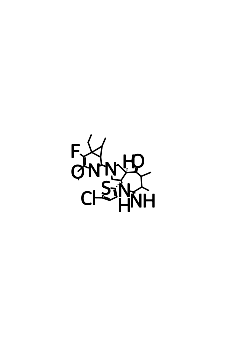 CCC12C(F)=C(OC)N=C(N3C[C@H]4C(=O)C(C)C(C)C(=N)N[C@@]4(c4ccc(Cl)s4)C3)C1C2C